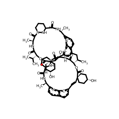 CC(Cc1cc2cc3nc(ccc13)[C@@H](C)NC(=O)[C@@H]1CCCN(N1)C(=O)[C@H](C)NC(=O)[C@@H](C(C)C)OC(=O)[C@]1(/C=C/2)CC[C@@H](O)CC1)[C@@H]1OC(=O)[C@]2(/C=C/c3ccc4ccc(nc4c3)[C@@H](C)NC(=O)[C@@H]3CCCN(N3)C(=O)[C@H](C)NC1=O)CC[C@H](O)CC2